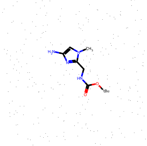 Cn1cc(N)nc1CNC(=O)OC(C)(C)C